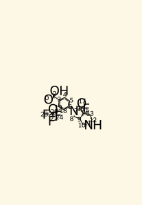 O=C(O)c1ccc(N2CC3CNCCC3(F)C2=O)cc1OC(F)(F)F